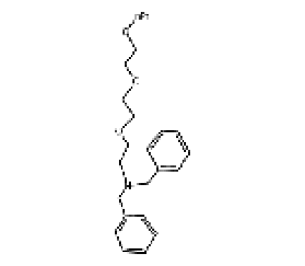 CCCOCCOCCOCCN(Cc1ccccc1)Cc1ccccc1